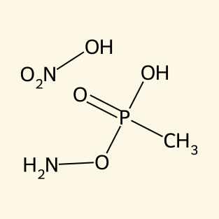 CP(=O)(O)ON.O=[N+]([O-])O